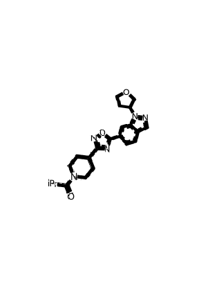 CC(C)C(=O)N1CCC(c2noc(-c3ccc4cnn(C5CCOC5)c4c3)n2)CC1